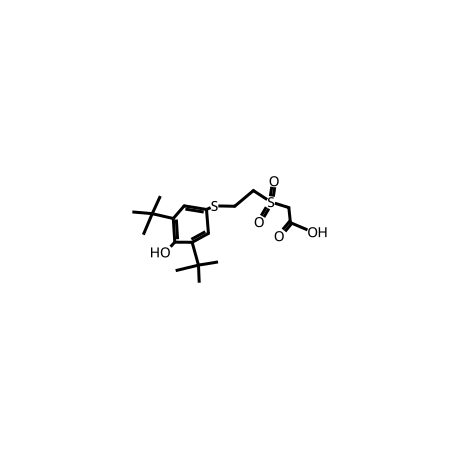 CC(C)(C)c1cc(SCCS(=O)(=O)CC(=O)O)cc(C(C)(C)C)c1O